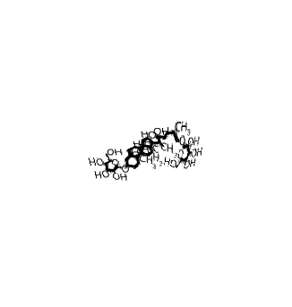 C[C@H](CC[C@@]1(O)O[C@H]2C[C@H]3[C@@H]4CC=C5C[C@@H](O[C@@H]6O[C@H](CO)[C@@H](O)[C@H](O)[C@H]6O)CC[C@]5(C)[C@H]4CC[C@]3(C)[C@H]2[C@@H]1C)CO[C@@H]1O[C@H](CO)[C@@H](O)[C@H](O)[C@H]1O